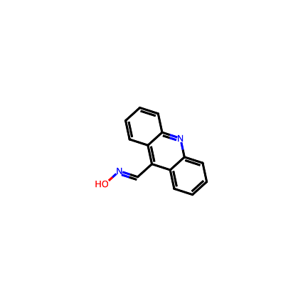 ON=Cc1c2ccccc2nc2ccccc12